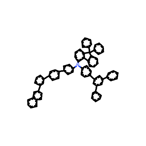 c1ccc(-c2cc(-c3ccccc3)cc(-c3ccc(N(c4ccc(-c5ccc(-c6cccc(-c7ccc8ccccc8c7)c6)cc5)cc4)c4cccc5c4-c4ccccc4C5(c4ccccc4)c4ccccc4)cc3)c2)cc1